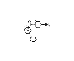 CC1CC(N)CCN1C(=O)C12CC3C[C@](c4ccccc4)(C1)C[C@@]2(C)C3